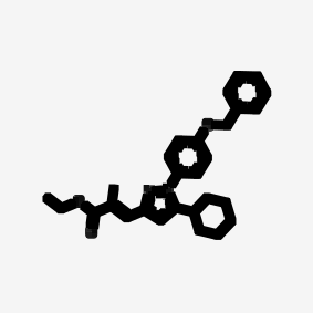 CCOC(=O)/C(C)=C/c1cc(C2CCCCC2)n(-c2ccc(OCc3ccccc3)cc2)n1